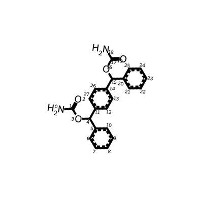 NC(=O)OC(c1ccccc1)c1ccc(C(OC(N)=O)c2ccccc2)cc1